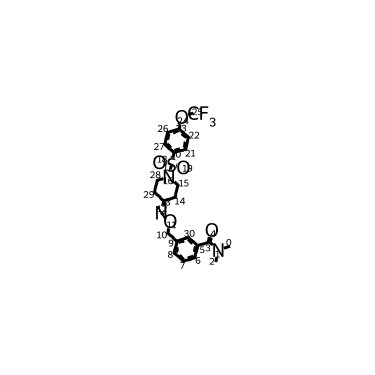 CN(C)C(=O)c1cccc(CON=C2CCN(S(=O)(=O)c3ccc(OC(F)(F)F)cc3)CC2)c1